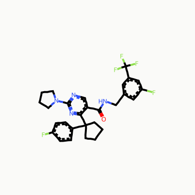 O=C(NCc1cc(F)cc(C(F)(F)F)c1)c1cnc(N2CCCC2)nc1C1(c2ccc(F)cc2)CCCC1